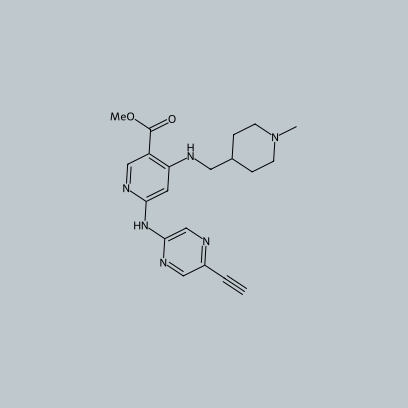 C#Cc1cnc(Nc2cc(NCC3CCN(C)CC3)c(C(=O)OC)cn2)cn1